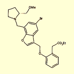 CCOC(=O)Cc1ccccc1OCc1coc2c(CN3CCC[C@@H]3COC)cc(Br)cc12